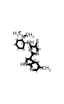 Cc1cnc2[nH]cc(-c3ncc(F)c(N[C@H]4CCCC[C@@H]4N(C)C)n3)c2c1